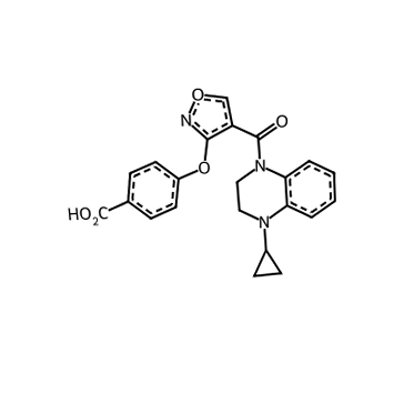 O=C(O)c1ccc(Oc2nocc2C(=O)N2CCN(C3CC3)c3ccccc32)cc1